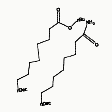 CCCCCCCCCCCCCCCCCC(=O)OCCCC.CCCCCCCCCCCCCCCCCC(N)=O